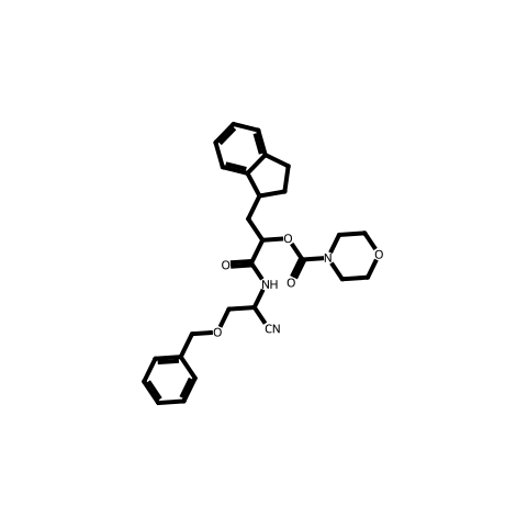 N#CC(COCc1ccccc1)NC(=O)C(CC1CCc2ccccc21)OC(=O)N1CCOCC1